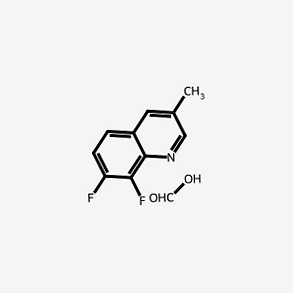 Cc1cnc2c(F)c(F)ccc2c1.O=CO